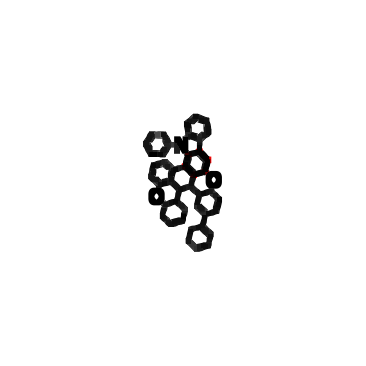 C1=CCCC(C2=CC3C(C=C2)OC2C=CC=CC2C3C2c3c(cccc3C3=CC=CC4c5ccccc5N(c5ccccc5)C34)OC3CC=CCC32)=C1